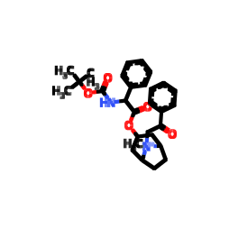 CC(C)(C)OC(=O)NC(C(=O)OC1CC2CCC(C1)[N+]2(C)CC(=O)c1ccccc1)c1ccccc1